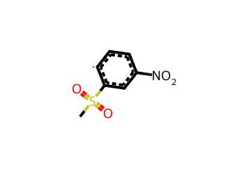 CS(=O)(=O)c1[c]ccc([N+](=O)[O-])c1